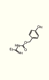 C[CH]C(=N)NC(=O)OCc1ccc(O)cc1